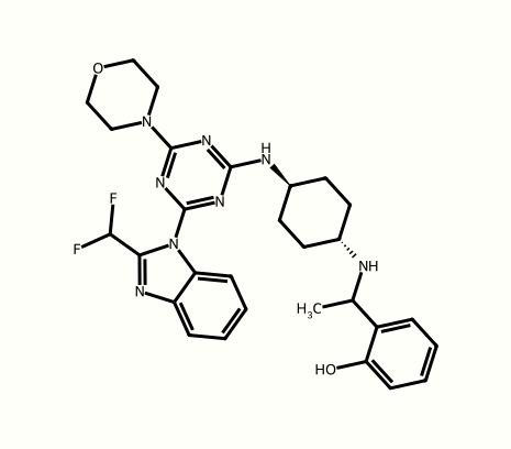 CC(N[C@H]1CC[C@H](Nc2nc(N3CCOCC3)nc(-n3c(C(F)F)nc4ccccc43)n2)CC1)c1ccccc1O